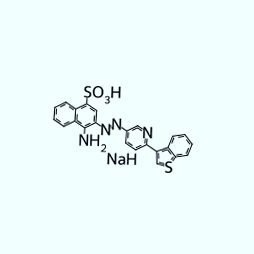 Nc1c(N=Nc2ccc(-c3csc4ccccc34)nc2)cc(S(=O)(=O)O)c2ccccc12.[NaH]